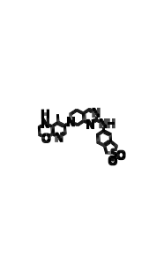 Cc1c(N2CCc3cnc(Nc4ccc5c(c4)CS(=O)(=O)C5)nc3C2)cnc2c1NCCO2